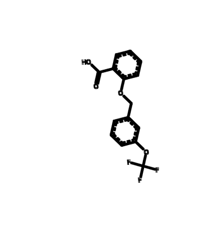 O=C(O)c1ccccc1OCc1cccc(OC(F)(F)F)c1